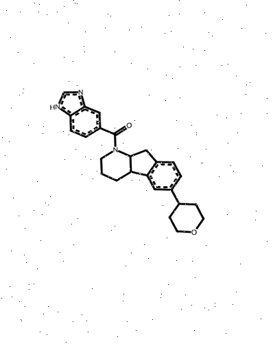 O=C(c1ccc2[nH]cnc2c1)N1CCCC2c3cc(C4CCOCC4)ccc3CC21